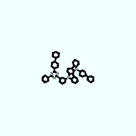 c1ccc(-c2ccc(-c3nc(-c4ccccc4)nc(-c4cccc(-n5c6ccccc6c6c5ccc5c7ccccc7n(-c7ccc(-c8ccccc8)cc7)c56)c4)n3)cc2)cc1